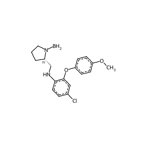 BN1CCC[C@H]1CNc1ccc(Cl)cc1Oc1ccc(OC)cc1